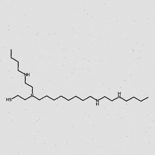 CCCCNCCNCCCCCCCCN(CCS)CCNCCCC